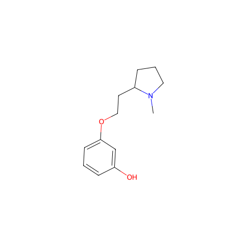 CN1CCCC1CCOc1cccc(O)c1